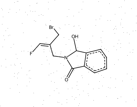 O=C1c2ccccc2C(O)N1C/C(=C\F)CBr